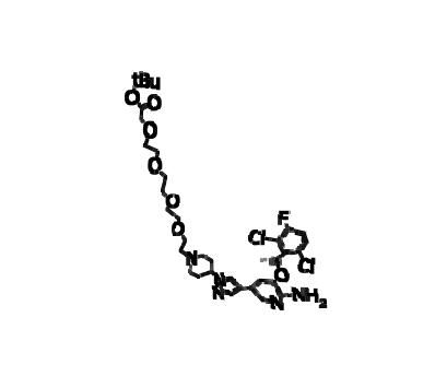 C[C@@H](Oc1cc(-c2cnn(C3CCN(CCOCCOCCOCCOCC(=O)OC(C)(C)C)CC3)c2)cnc1N)c1c(Cl)ccc(F)c1Cl